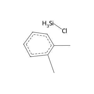 Cc1ccccc1C.[SiH3]Cl